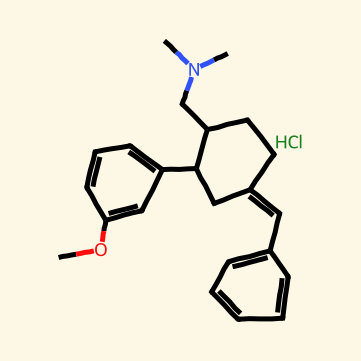 COc1cccc(C2C/C(=C\c3ccccc3)CCC2CN(C)C)c1.Cl